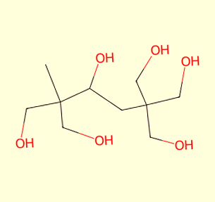 CC(CO)(CO)C(O)CC(CO)(CO)CO